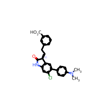 CN(C)c1ccc(-c2cc3c(cc2Cl)NC(=O)/C3=C\Cc2cccc(C(=O)O)c2)cc1